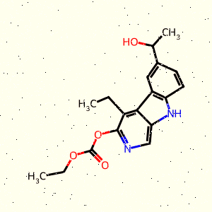 CCOC(=O)Oc1ncc2[nH]c3ccc(C(C)O)cc3c2c1CC